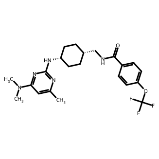 Cc1cc(N(C)C)nc(N[C@H]2CC[C@@H](CNC(=O)c3ccc(OC(F)(F)F)cc3)CC2)n1